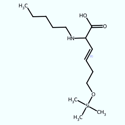 CCCCCNC(/C=C/CCO[Si](C)(C)C)C(=O)O